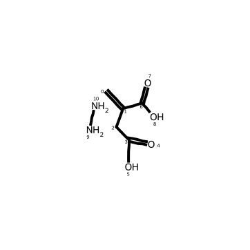 C=C(CC(=O)O)C(=O)O.NN